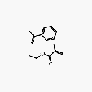 C=C(C)C(=O)OCC.C=C(C)c1ccccc1